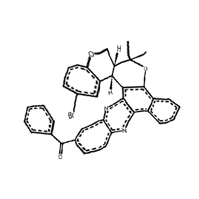 CC1(C)Oc2c(c3nc4cc(C(=O)c5ccccc5)ccc4nc3c3ccccc23)[C@@H]2c3cc(Br)ccc3OC[C@@H]21